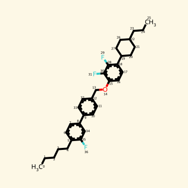 CCCCCc1ccc(-c2ccc(COc3ccc(C4CCC(CCC)CC4)c(F)c3F)cc2)cc1F